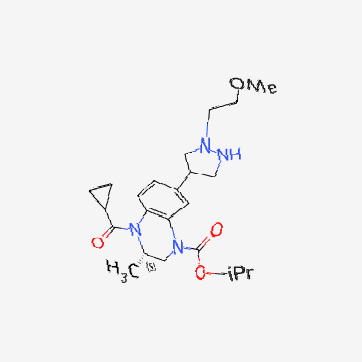 COCCN1CC(c2ccc3c(c2)N(C(=O)OC(C)C)C[C@H](C)N3C(=O)C2CC2)CN1